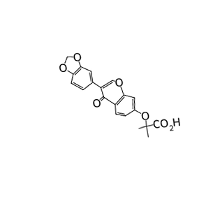 CC(C)(Oc1ccc2c(=O)c(-c3ccc4c(c3)OCO4)coc2c1)C(=O)O